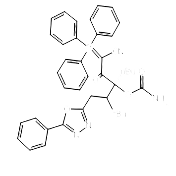 CCCC[C@@](OC(N)=O)(C(=O)C(C#N)=P(c1ccccc1)(c1ccccc1)c1ccccc1)C(Cc1nnc(-c2ccccc2)o1)C(C)(C)C